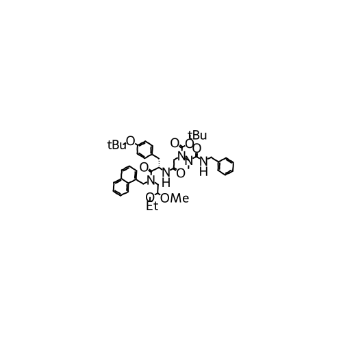 CCOC(CN(Cc1cccc2ccccc12)C(=O)[C@H](Cc1ccc(OC(C)(C)C)cc1)NC(=O)CN(C(=O)OC(C)(C)C)N(C)C(=O)NCc1ccccc1)OC